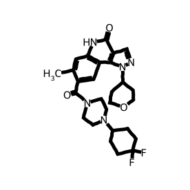 Cc1cc2[nH]c(=O)c3cnn(C4CCOCC4)c3c2cc1C(=O)N1CCN(C2CCC(F)(F)CC2)CC1